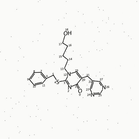 O=c1nc(SCc2ccccc2)n(CCCCCO)cc1Cc1cncnc1